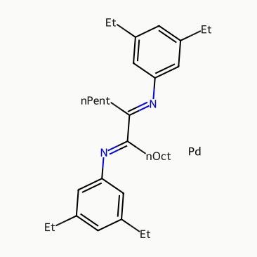 CCCCCCCCC(=N\c1cc(CC)cc(CC)c1)/C(CCCCC)=N/c1cc(CC)cc(CC)c1.[Pd]